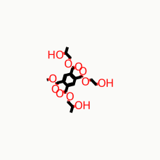 COC(=O)c1cc(C(=O)OCC(C)O)c(C(=O)OCCO)cc1C(=O)OCC(C)O